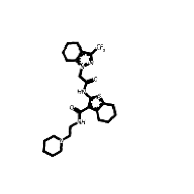 O=C(Cn1nc(C(F)(F)F)c2c1CCCC2)Nc1sc2c(c1C(=O)NCCN1CCCCC1)CCCC2